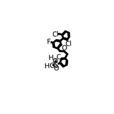 Cc1c(CC2Cc3cc(F)cc(-c4c(Cl)cccc4Cl)c3O2)cccc1S(=O)(=O)O